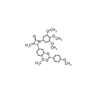 C=C1C(=O)N(c2cc(OC)c(OC)c(OC)c2)C1c1ccc(OC)c(OC(=O)c2ccc(OC)cc2)c1